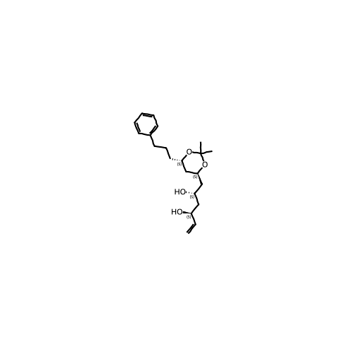 C=C[C@@H](O)C[C@H](O)C[C@H]1C[C@H](CCCc2ccccc2)OC(C)(C)O1